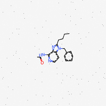 CCCCc1nc2c(NC(C)=O)nccc2n1Cc1ccccc1